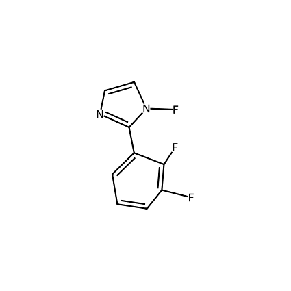 Fc1cccc(-c2nccn2F)c1F